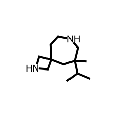 CC(C)C1(C)CNCCC2(CNC2)C1